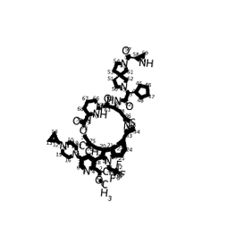 CO[C@@H](C)c1ncc(N2CCN(C3CC3)CC2)cc1-c1c2c3cc(ccc3n1CC(F)(F)F)-c1csc(n1)C[C@H](NC(=O)[C@H](C1CCCC1)N1CC[C@]3(CCN(C(=O)[C@H]4CN4)C3)C1)C(=O)N1CCC[C@H](N1)C(=O)OCC(C)(C)C2